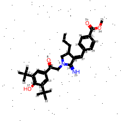 CCCC1CN(CC(=O)c2cc(C(C)(C)C)c(O)c(C(C)(C)C)c2)C(=N)/C1=C/c1ccc(C(=O)OC)cc1